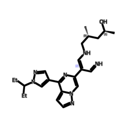 CCC(CC)n1cc(-c2nc(/C(C=N)=C/NC[C@H](C)C[C@H](C)O)cn3nccc23)cn1